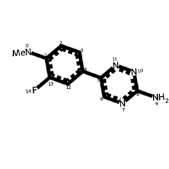 CNc1ccc(-c2cnc(N)nn2)cc1F